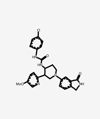 COc1ccc(C2CN(c3ccc4c(c3)C(=O)NC4)CCC2NC(=O)Nc2ccc(Cl)cc2)nc1